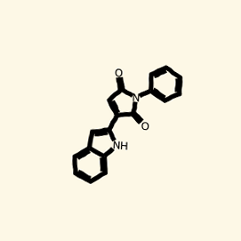 O=C1C=C(c2cc3ccccc3[nH]2)C(=O)N1c1ccccc1